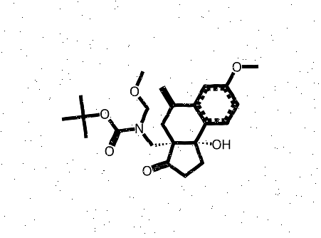 C=C1C[C@]2(CN(COC)C(=O)OC(C)(C)C)C(=O)CC[C@]2(O)c2ccc(OC)cc21